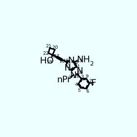 CCCn1c(-c2cccc(F)c2)nc2c(N)nc(C#CC3(O)CCC3)nc21